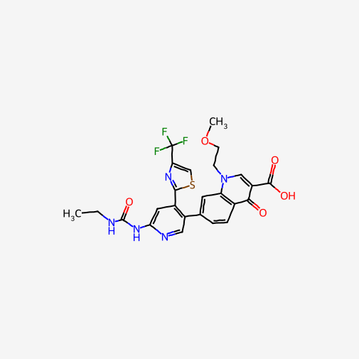 CCNC(=O)Nc1cc(-c2nc(C(F)(F)F)cs2)c(-c2ccc3c(=O)c(C(=O)O)cn(CCOC)c3c2)cn1